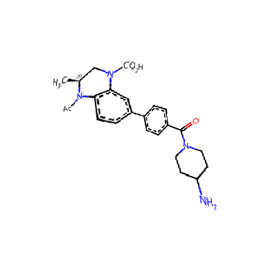 CC(=O)N1c2ccc(-c3ccc(C(=O)N4CCC(N)CC4)cc3)cc2N(C(=O)O)C[C@@H]1C